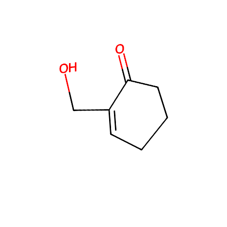 O=C1CCCC=C1CO